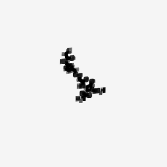 NS(=O)(=O)[C@@H]1[C@H](NC(=O)C=NOCc2csc(NC(=O)CCl)n2)C(=O)N1S(=O)(=O)O